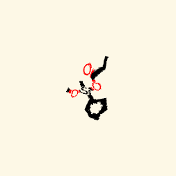 CCC(=O)O[Si](C)(OC)c1ccccc1